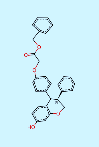 O=C(COc1ccc(C2c3ccc(O)cc3OC[C@@H]2c2ccccc2)cc1)OCc1ccccc1